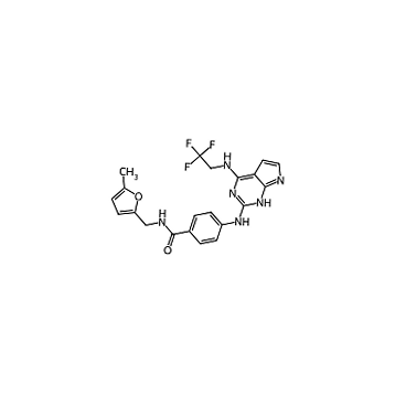 Cc1ccc(CNC(=O)c2ccc(Nc3nc(NCC(F)(F)F)c4ccnc-4[nH]3)cc2)o1